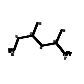 [CH2]C(C)CC(C)CC(C)C[CH]C